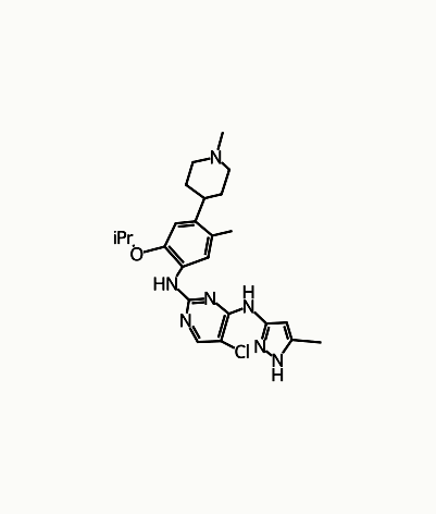 Cc1cc(Nc2nc(Nc3cc(C)c(C4CCN(C)CC4)cc3OC(C)C)ncc2Cl)n[nH]1